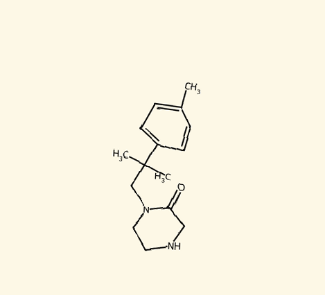 Cc1ccc(C(C)(C)CN2CCNCC2=O)cc1